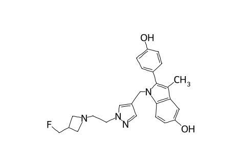 Cc1c(-c2ccc(O)cc2)n(Cc2cnn(CCN3CC(CF)C3)c2)c2ccc(O)cc12